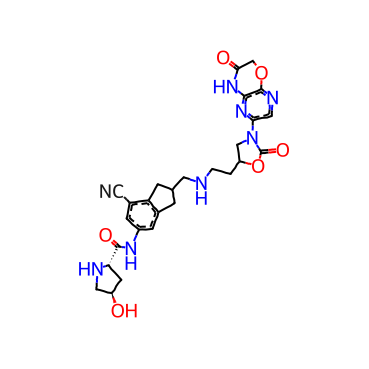 N#Cc1cc(NC(=O)[C@@H]2C[C@@H](O)CN2)cc2c1CC(CNCCC1CN(c3cnc4c(n3)NC(=O)CO4)C(=O)O1)C2